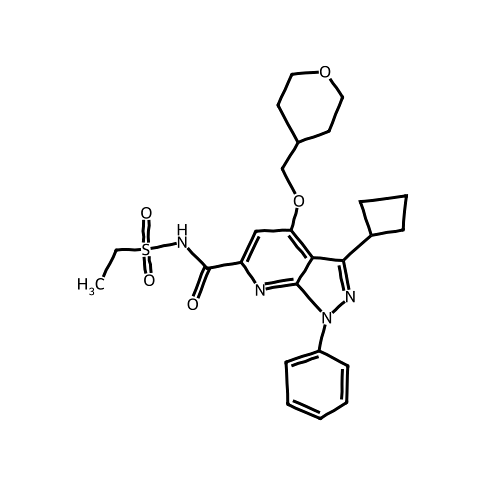 CCS(=O)(=O)NC(=O)c1cc(OCC2CCOCC2)c2c(C3CCC3)nn(-c3ccccc3)c2n1